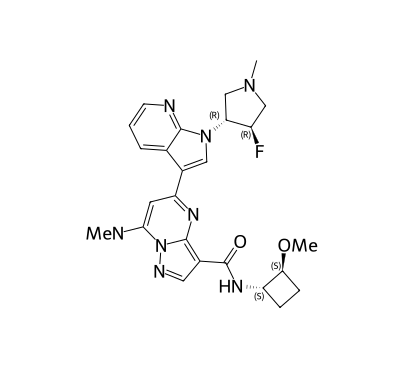 CNc1cc(-c2cn([C@@H]3CN(C)C[C@H]3F)c3ncccc23)nc2c(C(=O)N[C@H]3CC[C@@H]3OC)cnn12